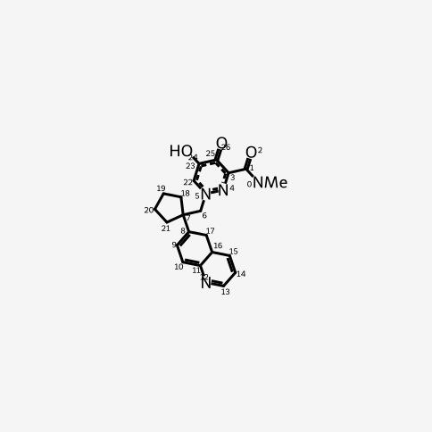 CNC(=O)c1nn(CC2(C3=CC=C4N=CC=CC4C3)CCCC2)cc(O)c1=O